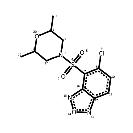 CC1CN(S(=O)(=O)c2c(Cl)ccc3nonc23)CC(C)O1